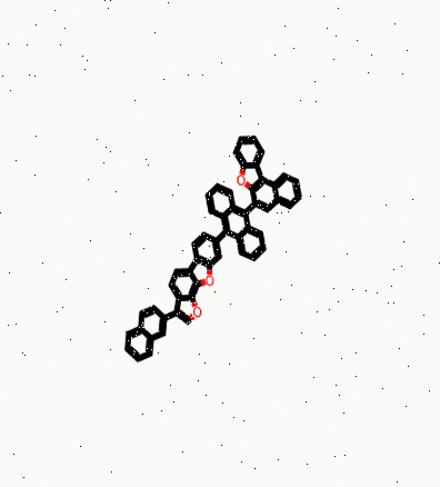 c1ccc2cc(-c3coc4c3ccc3c5ccc(-c6c7ccccc7c(-c7cc8ccccc8c8c7oc7ccccc78)c7ccccc67)cc5oc34)ccc2c1